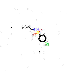 CC(C)CCNS(=O)(=O)c1ccc(Cl)cc1